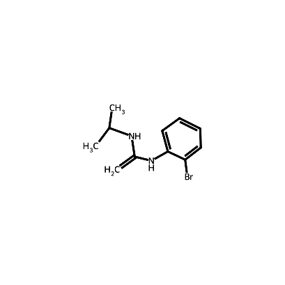 C=C(Nc1ccccc1Br)NC(C)C